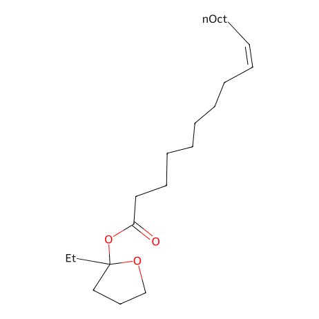 CCCCCCCC/C=C\CCCCCCCC(=O)OC1(CC)CCCO1